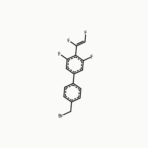 FC=C(F)c1c(F)cc(-c2ccc(CBr)cc2)cc1F